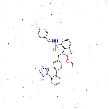 CCOc1nc2cccc(C(=O)NCc3ccc(F)cc3)c2n1Cc1ccc(-c2ccccc2-c2nnn[nH]2)cc1